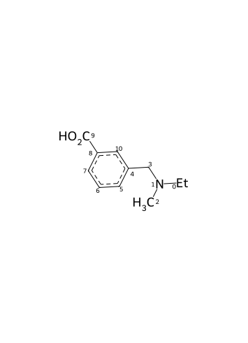 CCN(C)Cc1cccc(C(=O)O)c1